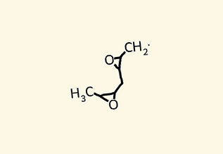 [CH2]C1OC1CC1OC1C